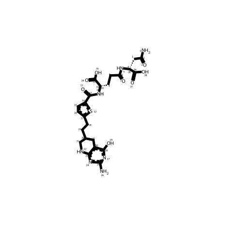 NC(=O)C[C@@H](NC(=O)CC[C@H](NC(=O)c1ccc(CCC2CNc3nc(N)nc(O)c3C2)s1)C(=O)O)C(=O)O